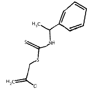 C=C(Cl)CSC(=S)NC(C)c1ccccc1